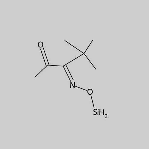 CC(=O)C(=NO[SiH3])C(C)(C)C